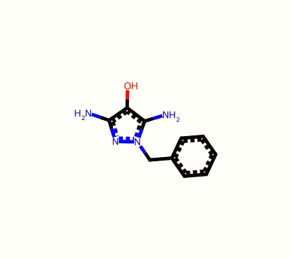 Nc1nn(Cc2ccccc2)c(N)c1O